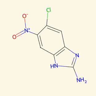 Nc1nc2cc(Cl)c([N+](=O)[O-])cc2[nH]1